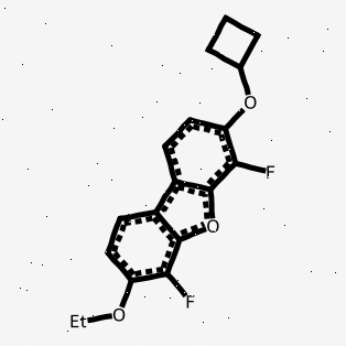 CCOc1ccc2c(oc3c(F)c(OC4CCC4)ccc32)c1F